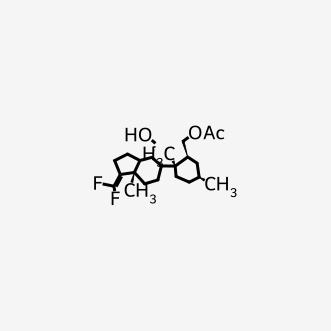 CC(=O)OC[C@H]1C[C@@H](C)CC[C@]1(C)C1CC[C@]2(C)C(=C(F)F)CCC2[C@@H]1CO